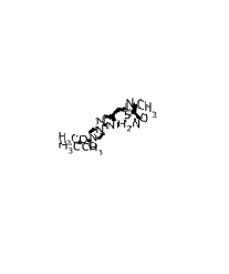 Cc1nc(Cc2cnc(N3CCN(C(=O)OC(C)(C)C)CC3)nc2)sc1C(N)=O